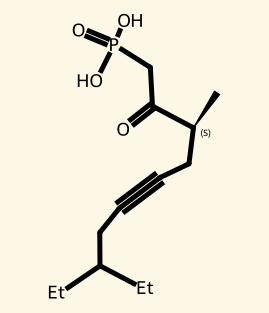 CCC(CC)CC#CC[C@H](C)C(=O)CP(=O)(O)O